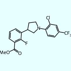 COC(=O)c1cccc(C2CCN(c3ccc(C(F)(F)F)cc3Cl)C2)c1F